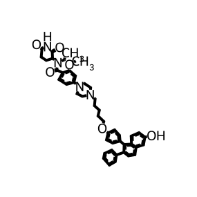 CCN(C(=O)c1ccc(N2CCN(CCCCCOc3ccc(-c4c(-c5ccccc5)ccc5cc(O)ccc45)cc3)CC2)cc1OC)C1CCC(=O)NC1=O